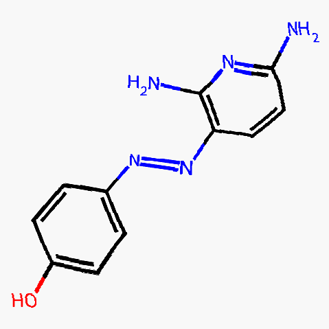 Nc1ccc(N=Nc2ccc(O)cc2)c(N)n1